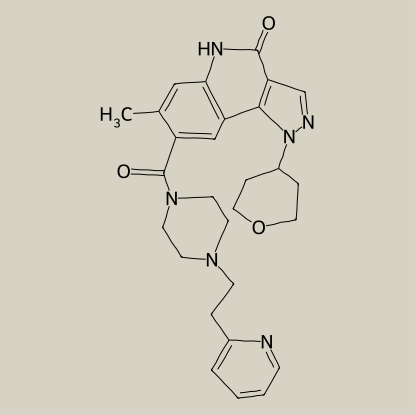 Cc1cc2[nH]c(=O)c3cnn(C4CCOCC4)c3c2cc1C(=O)N1CCN(CCc2ccccn2)CC1